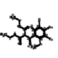 CCOC(=O)C(C(=O)OCC)C(=O)c1c(F)c(F)c(F)c(F)c1CC